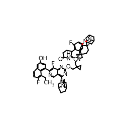 CCc1c(F)ccc2cc(O)cc(-c3ncc4c(N5CC6CCC(C5)N6)nc(OCC5(CN6CC7(CCC(F)(CN8C9CC8CN(c8cc(F)c(C%10CCC(=O)NC%10=O)c(F)c8)C9)CC7)C6)CC5)nc4c3F)c12